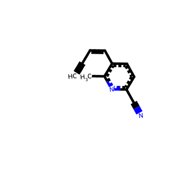 C#C/C=C\c1ccc(C#N)nc1C